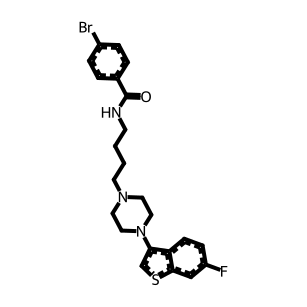 O=C(NCCCCN1CCN(c2csc3cc(F)ccc23)CC1)c1ccc(Br)cc1